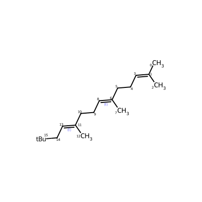 CC(C)=CCC/C(C)=C/CC/C(C)=C/CC(C)(C)C